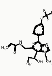 C=CC(=O)NCc1nc(-c2ccc(OC(F)(F)F)cc2)c2ncn(C)c2c1C(O)CO